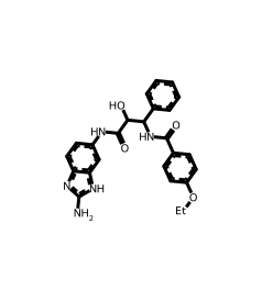 CCOc1ccc(C(=O)NC(c2ccccc2)C(O)C(=O)Nc2ccc3nc(N)[nH]c3c2)cc1